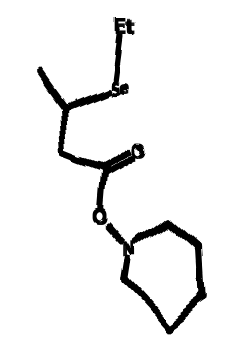 CC[Se]C(C)CC(=O)ON1CCCCC1